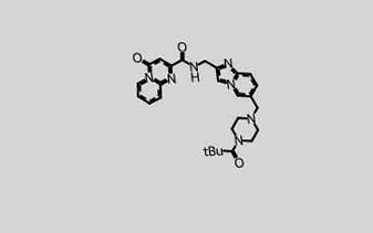 CC(C)(C)C(=O)N1CCN(Cc2ccc3nc(CNC(=O)c4cc(=O)n5ccccc5n4)cn3c2)CC1